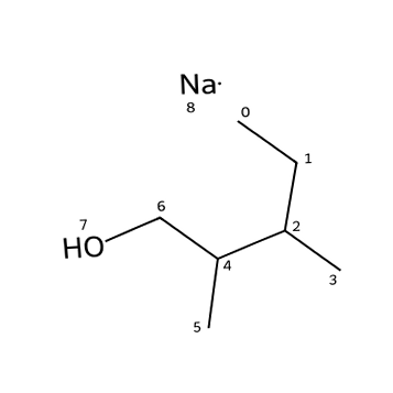 CCC(C)C(C)CO.[Na]